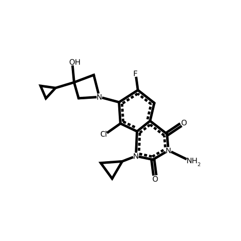 Nn1c(=O)c2cc(F)c(N3CC(O)(C4CC4)C3)c(Cl)c2n(C2CC2)c1=O